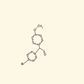 COc1ccc(C(C=O)c2ccc(Br)cc2)cc1